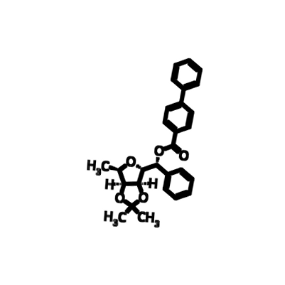 C[C@H]1O[C@H]([C@H](OC(=O)c2ccc(-c3ccccc3)cc2)c2ccccc2)[C@H]2OC(C)(C)O[C@H]21